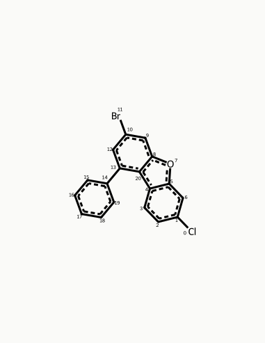 Clc1ccc2c(c1)oc1cc(Br)cc(-c3ccccc3)c12